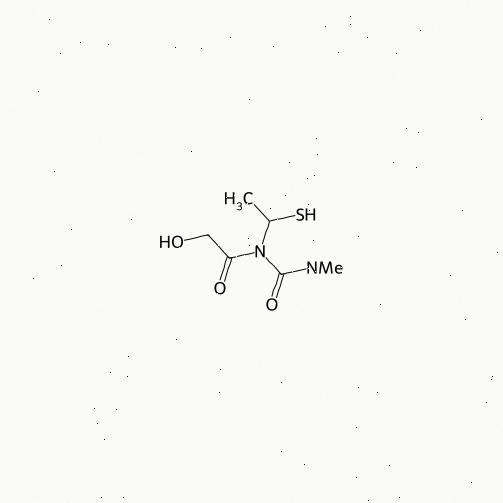 CNC(=O)N(C(=O)CO)C(C)S